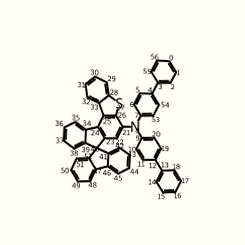 c1ccc(-c2ccc(N(c3ccc(-c4ccccc4)cc3)c3cc4c(c5c3sc3ccccc35)-c3ccccc3C43c4ccccc4-c4ccccc43)cc2)cc1